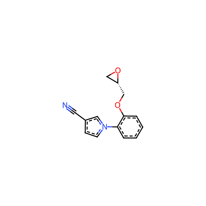 N#Cc1ccn(-c2ccccc2OC[C@@H]2CO2)c1